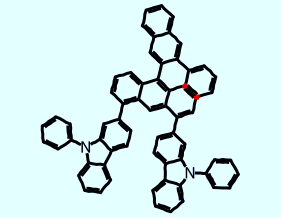 c1ccc(-c2cc3ccccc3cc2-c2c3cccc(-c4ccc5c6ccccc6n(-c6ccccc6)c5c4)c3cc3c(-c4ccc5c6ccccc6n(-c6ccccc6)c5c4)cccc23)cc1